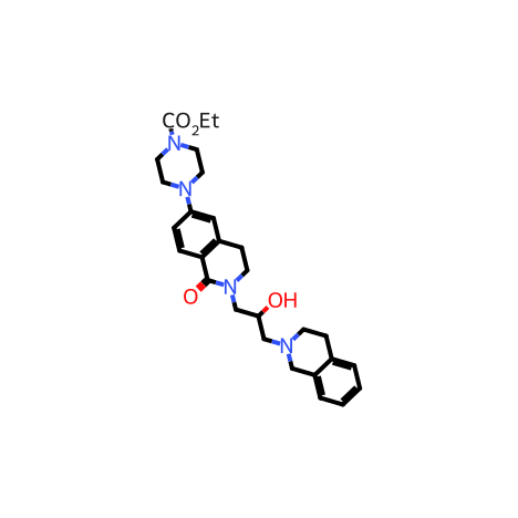 CCOC(=O)N1CCN(c2ccc3c(c2)CCN(CC(O)CN2CCc4ccccc4C2)C3=O)CC1